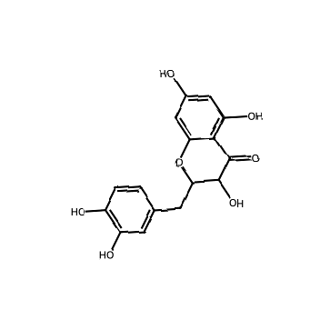 O=C1c2c(O)cc(O)cc2OC(Cc2ccc(O)c(O)c2)C1O